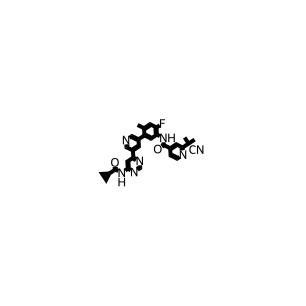 Cc1cc(F)c(NC(=O)c2ccnc(C(C)(C)C#N)c2)cc1-c1cncc(-c2cc(NC(=O)C3CC3)ncn2)c1